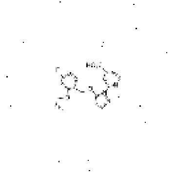 O=C(O)c1ccnc(-n2nccc2OCc2ccc(F)cc2OCC(F)(F)F)c1